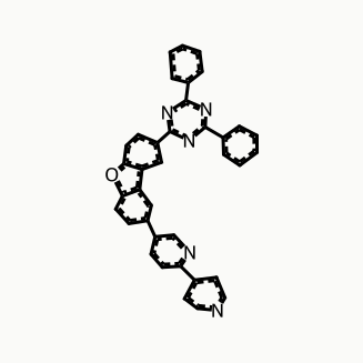 c1ccc(-c2nc(-c3ccccc3)nc(-c3ccc4oc5ccc(-c6ccc(-c7ccncc7)nc6)cc5c4c3)n2)cc1